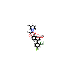 CC1CCCN(C(=O)C(C)Oc2ccc3c(-c4ccc(F)cc4Cl)cc(=O)oc3c2)C1